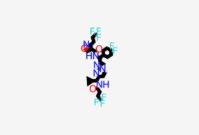 O=C(CCC(F)(F)F)NC(c1ccn2cc([C@@H](NC(=O)c3conc3CCC(F)(F)F)C3CCC(F)(F)CC3)nc2n1)C1CC1